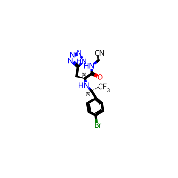 N#CCNC(=O)[C@H](Cc1nnn[nH]1)N[C@@H](c1ccc(Br)cc1)C(F)(F)F